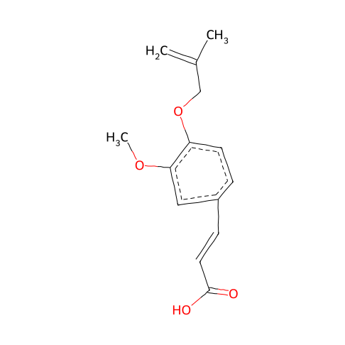 C=C(C)COc1ccc(C=CC(=O)O)cc1OC